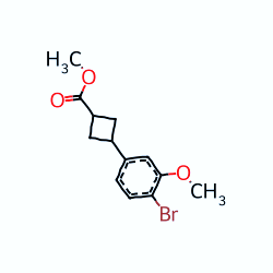 COC(=O)C1CC(c2ccc(Br)c(OC)c2)C1